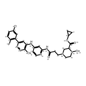 Cc1nnc(-c2cc(Cl)ccc2F)cc1Nc1ccnc(NC(=O)CCN2CCN(C)C(C(=O)OC3CC3)C2)c1